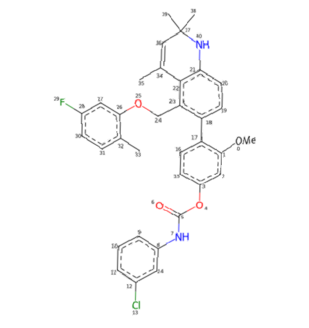 COc1cc(OC(=O)Nc2cccc(Cl)c2)ccc1-c1ccc2c(c1COc1cc(F)ccc1C)C(C)=CC(C)(C)N2